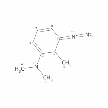 CC1C(N(C)C)=CC=CC1=[N+]=[N-]